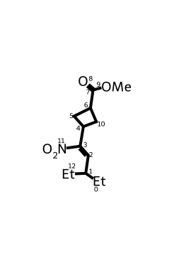 CCC(C=C(C1CC(C(=O)OC)C1)[N+](=O)[O-])CC